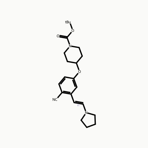 CC(C)(C)OC(=O)N1CCC(Oc2ccc(C#N)c(/C=C/N3CCCC3)c2)CC1